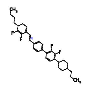 CCCCC1CC=C(/C=C/c2ccc(-c3ccc(C4CCC(CCC)CC4)c(F)c3F)cc2)C(F)=C1F